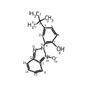 CC(C)(C)c1ccc(O)c(-n2nc3ccccc3[n+]2[O-])c1